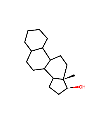 C[C@]12CCC3C4CCCCC4CCC3C1CC[C@@H]2O